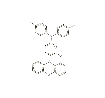 Cc1ccc(N(c2ccc(C)cc2)c2ccc3c(c2)Oc2cccc4c2B3c2ccccc2O4)cc1